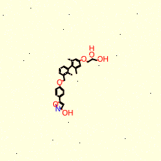 Cc1cc(OC[C@H](O)CO)cc(C)c1-c1cccc(COc2ccc(-c3cc(O)no3)cc2)c1C